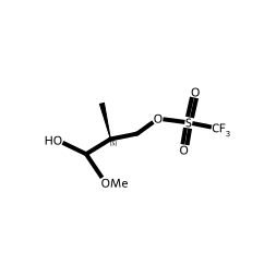 COC(O)[C@@H](C)COS(=O)(=O)C(F)(F)F